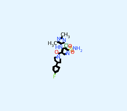 Cc1ncc(Nc2c(C(=O)N3CCC(c4ccc(F)cc4)CC3)cnc(S(N)(=O)=O)c2Cl)c(C)n1